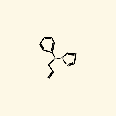 C=CCN(c1ccccc1)n1cccn1